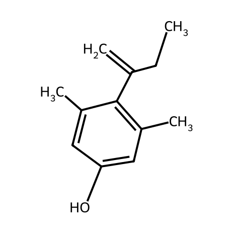 C=C(CC)c1c(C)cc(O)cc1C